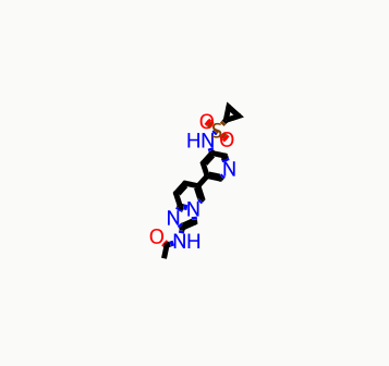 CC(=O)Nc1cn2cc(-c3cncc(NS(=O)(=O)C4CC4)c3)ccc2n1